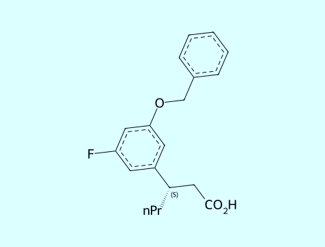 CCC[C@@H](CC(=O)O)c1cc(F)cc(OCc2ccccc2)c1